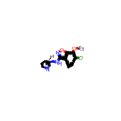 CCOc1c(Cl)ccc2c(N[C@H]3CN4CCC3CC4)noc12